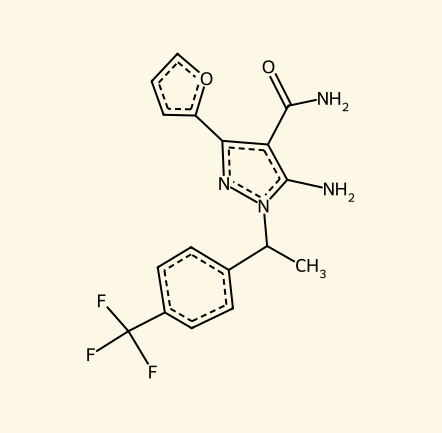 CC(c1ccc(C(F)(F)F)cc1)n1nc(-c2ccco2)c(C(N)=O)c1N